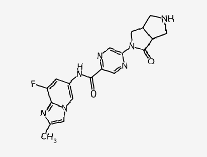 Cc1cn2cc(NC(=O)c3cnc(N4CC5CNCC5C4=O)cn3)cc(F)c2n1